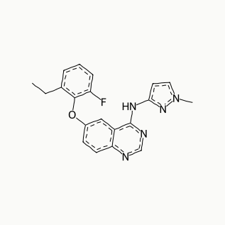 CCc1cccc(F)c1Oc1ccc2ncnc(Nc3ccn(C)n3)c2c1